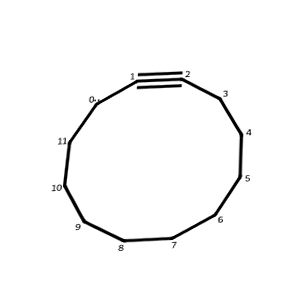 [C]1C#CCCCCCCCCC1